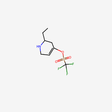 CCC1CC(OS(=O)(=O)C(F)(F)F)=CCN1